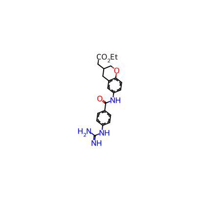 CCOC(=O)CC1COc2ccc(NC(=O)c3ccc(NC(=N)N)cc3)cc2C1